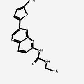 CCNC(=O)Nc1ccc2ncc(-c3ccc(C)o3)nc2n1